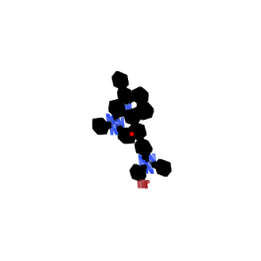 Brc1cccc(-c2nc(-c3ccccc3)nc(-c3ccc(-c4ccc(-c5ccc6c(c5)c5ccccc5c5ccccc5c5cc(-c7ccccc7)ccc5n6-c5cccc(-c6nc(-c7ccccc7)nc(-c7ccccc7)n6)c5)cc4)cc3)n2)c1